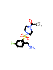 NCc1ccc(F)cc1S(=O)(=O)N1CCN(C(=O)C(F)(F)F)CC1